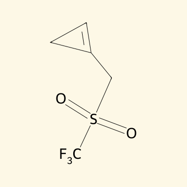 O=S(=O)(CC1=CC1)C(F)(F)F